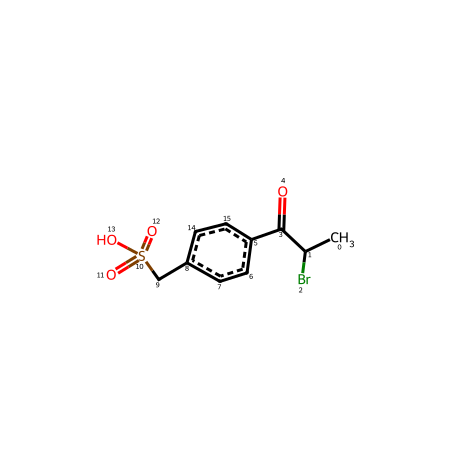 CC(Br)C(=O)c1ccc(CS(=O)(=O)O)cc1